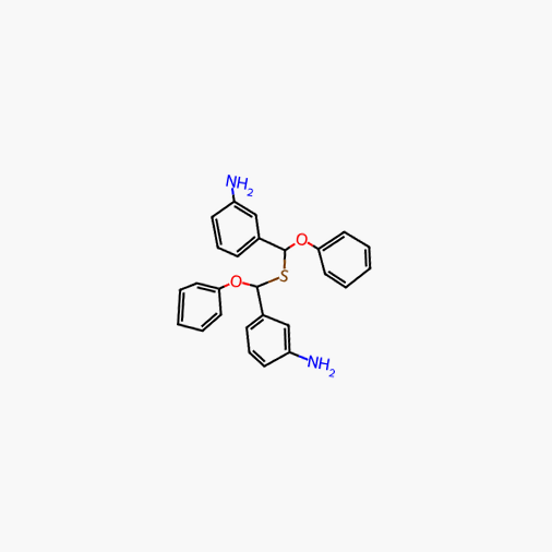 Nc1cccc(C(Oc2ccccc2)SC(Oc2ccccc2)c2cccc(N)c2)c1